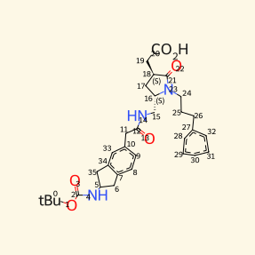 CC(C)(C)OC(=O)NC1Cc2ccc(CC(=O)NC[C@@H]3C[C@@H](CC(=O)O)C(=O)N3CCCc3ccccc3)cc2C1